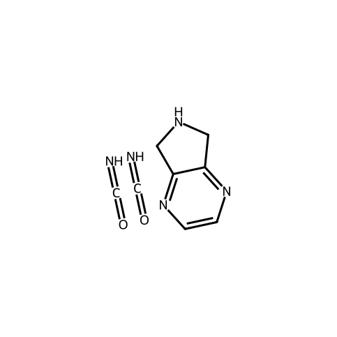 N=C=O.N=C=O.c1cnc2c(n1)CNC2